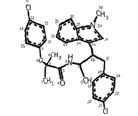 CC(NC(=O)C(C)(C)Oc1ccc(Cl)cc1)C(Cc1ccc(Cl)cc1)c1cn(C)c2ccccc12